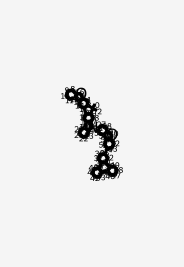 CC1(C)c2cc3oc4ccccc4c3cc2-c2cc3c4ccccc4n(-c4ccc5oc6ccc(-c7ccc8c9ccccc9c9ccccc9c8c7)cc6c5c4)c3cc21